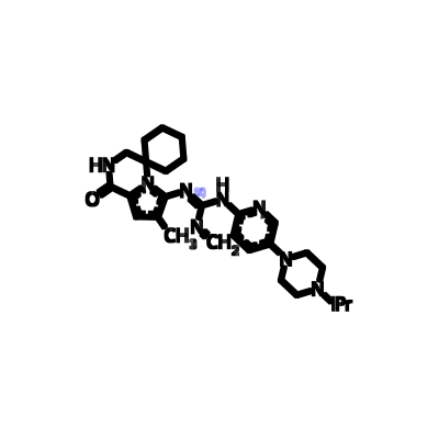 C=N/C(=N\c1c(C)cc2n1C1(CCCCC1)CNC2=O)Nc1ccc(N2CCN(C(C)C)CC2)cn1